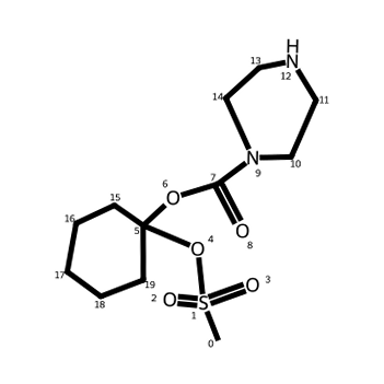 CS(=O)(=O)OC1(OC(=O)N2CCNCC2)CCCCC1